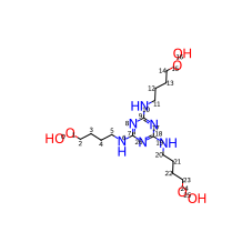 OOCCCCNc1nc(NCCCCOO)nc(NCCCCOO)n1